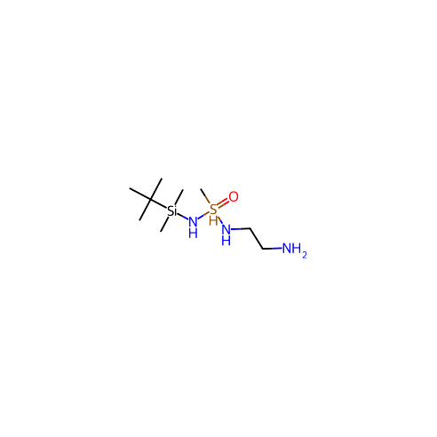 CC(C)(C)[Si](C)(C)N[SH](C)(=O)NCCN